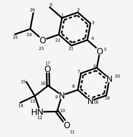 Cc1ccc(Oc2cc(N3C(=O)NC(C)(C)C3=O)ncn2)cc1OC(C)C